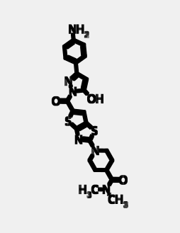 CN(C)C(=O)C1CCN(c2nc3sc(C(=O)n4nc(-c5ccc(N)cc5)cc4O)cc3s2)CC1